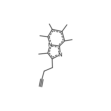 C#CCCc1nc2c(C)c(C)c(C)c(C)n2c1C